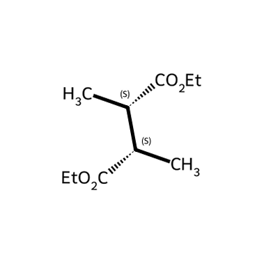 CCOC(=O)[C@@H](C)[C@H](C)C(=O)OCC